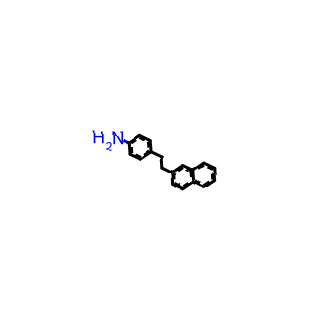 Nc1ccc(CCc2ccc3ccccc3c2)cc1